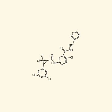 O=C(NN=Cc1ccccn1)c1cc(NC(=O)C2C(c3cc(Cl)cc(Cl)c3)C2(Cl)Cl)ccc1Cl